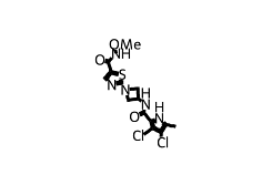 CONC(=O)c1cnc(N2CC(NC(=O)c3[nH]c(C)c(Cl)c3Cl)C2)s1